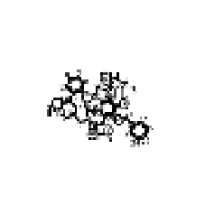 CC(C)CC(CC(Cl)c1ccccc1)CC1N(C)C(=O)c2c(OCc3ccccc3)c(=O)ccn2N1COCC[Si](C)(C)C